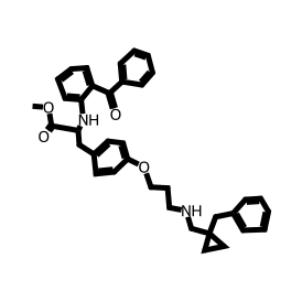 COC(=O)C(Cc1ccc(OCCCNCC2(Cc3ccccc3)CC2)cc1)Nc1ccccc1C(=O)c1ccccc1